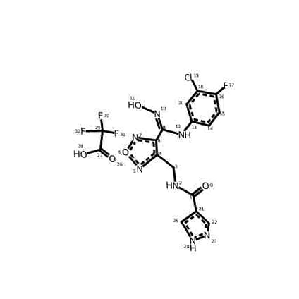 O=C(NCc1nonc1C(=NO)Nc1ccc(F)c(Cl)c1)c1cn[nH]c1.O=C(O)C(F)(F)F